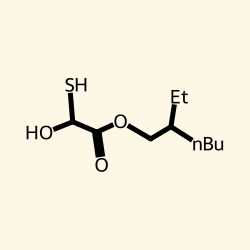 CCCCC(CC)COC(=O)C(O)S